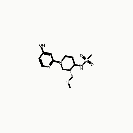 COC[C@@H]1CN(c2cc(O)ccn2)CCC1NS(C)(=O)=O